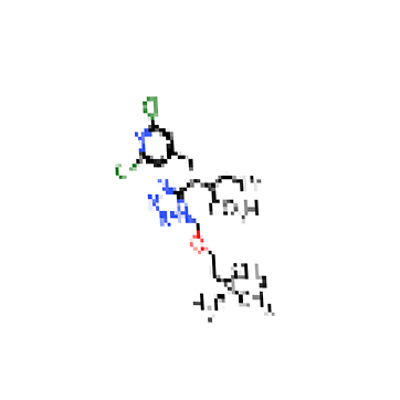 CC(C)CC(C(=O)O)[C@H](Cc1cc(Cl)nc(Cl)c1)c1nnnn1COCC[Si](C)(C)C